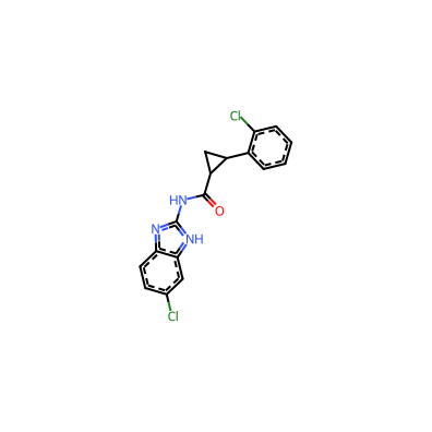 O=C(Nc1nc2ccc(Cl)cc2[nH]1)C1CC1c1ccccc1Cl